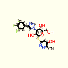 N#Cc1nnc(S[C@H]2O[C@H](CO)[C@H](O)[C@H](n3cc(-c4cc(F)c(F)c(F)c4)nn3)[C@H]2O)cc1O